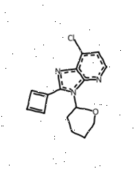 Clc1ccnc2c1nc(C1=CC=C1)n2C1CCCCO1